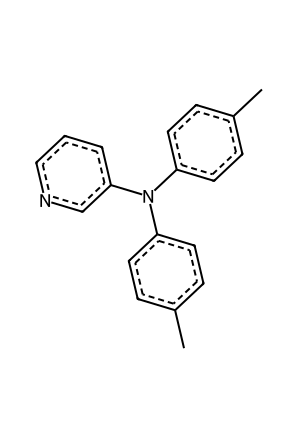 Cc1ccc(N(c2ccc(C)cc2)c2cccnc2)cc1